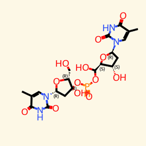 Cc1cn([C@H]2C[C@H](O)[C@@H](C(O)O[PH](=O)O[C@]3(O)C[C@H](n4cc(C)c(=O)[nH]c4=O)O[C@@H]3CO)O2)c(=O)[nH]c1=O